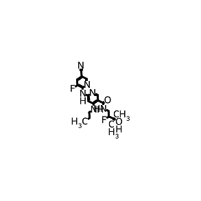 CCCNc1cc(Nc2ncc(C#N)cc2F)ncc1C(=O)NCC(F)C(C)(C)O